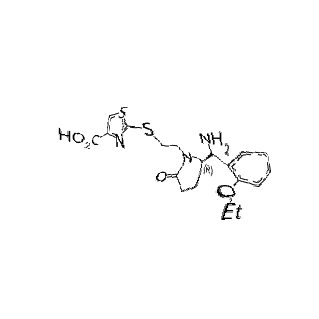 CCOc1ccccc1C(N)[C@H]1CCC(=O)N1CCSc1nc(C(=O)O)cs1